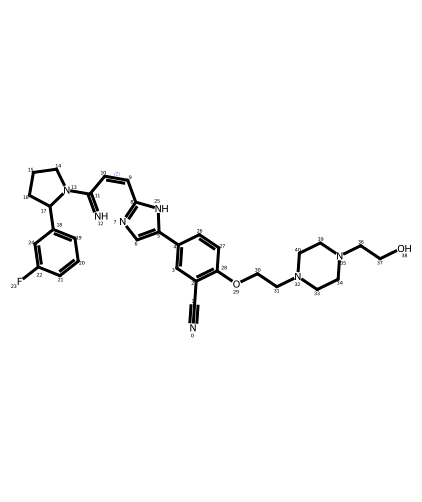 N#Cc1cc(-c2cnc(/C=C\C(=N)N3CCCC3c3cccc(F)c3)[nH]2)ccc1OCCN1CCN(CCO)CC1